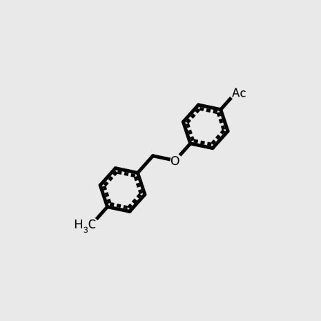 CC(=O)c1ccc(OCc2ccc(C)cc2)cc1